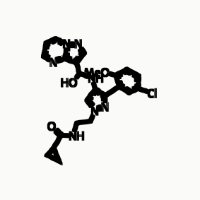 COc1ccc(Cl)cc1-c1nn(CCNC(=O)C2CC2)cc1NC(O)c1cnn2cccnc12